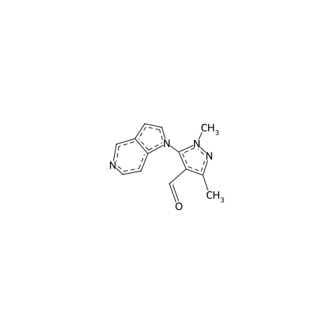 Cc1nn(C)c(-n2ccc3cnccc32)c1C=O